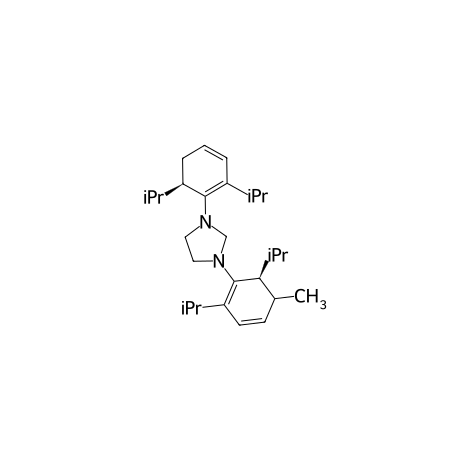 CC(C)C1=C(N2CCN(C3=C(C(C)C)C=CC[C@@H]3C(C)C)C2)[C@@H](C(C)C)C(C)C=C1